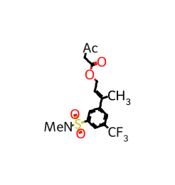 CNS(=O)(=O)c1cc(C(C)=CCOC(=O)CC(C)=O)cc(C(F)(F)F)c1